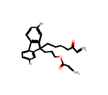 C=CC(=O)CCCCC1(CCCOC(=O)C=C)c2cc(Br)ccc2-c2ccc(Br)cc21